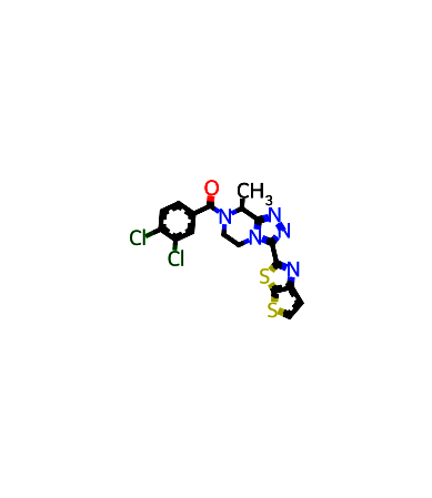 CC1c2nnc(-c3nc4ccsc4s3)n2CCN1C(=O)c1ccc(Cl)c(Cl)c1